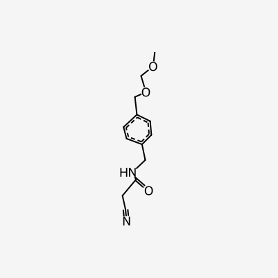 COCOCc1ccc(CNC(=O)CC#N)cc1